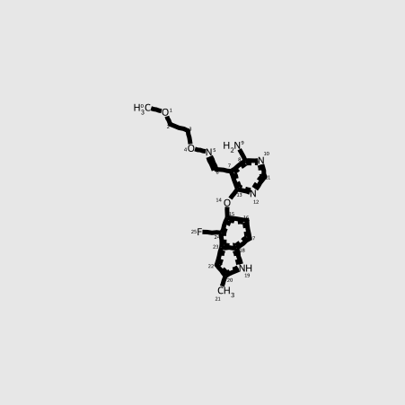 COCCON=Cc1c(N)ncnc1Oc1ccc2[nH]c(C)cc2c1F